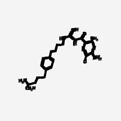 N=C(NCCCCc1ccc(CCCC(N)C(=O)O)cc1)NC(=O)c1nc(Cl)c(N)nc1N